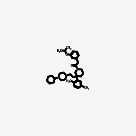 Cc1ccc(C)c(C2(CCN3CCN(C4CCCCC4)CC3)CCCN(C(=O)Cc3cccc(OC(C)C)c3)C2)c1